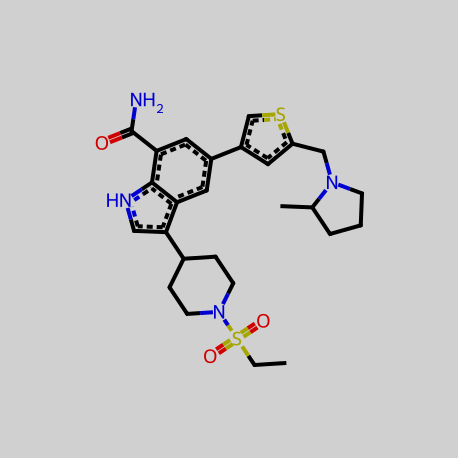 CCS(=O)(=O)N1CCC(c2c[nH]c3c(C(N)=O)cc(-c4csc(CN5CCCC5C)c4)cc23)CC1